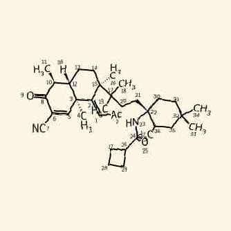 CC(=O)/C=C1/[C@@]2(C)C=C(C#N)C(=O)[C@@H](C)[C@@H]2CC[C@@]1(C)C(C)(C)CC[C@@]1(NC(=O)C2CCC2)CCC(C)(C)CC1C